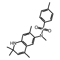 CC1=CC(C)(C)Nc2cc(C)c(N(C)S(=O)(=O)c3ccc(C)cc3)cc21